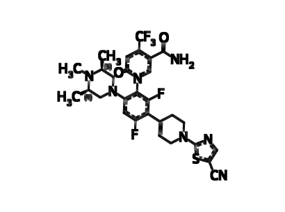 C[C@@H]1CN(c2cc(F)c(C3=CCN(c4ncc(C#N)s4)CC3)c(F)c2-n2cc(C(N)=O)c(C(F)(F)F)cc2=O)C[C@H](C)N1C